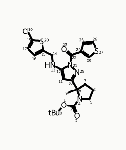 CC(C)(C)OC(=O)N1CCCC1(C)c1cc(NCc2ccc(Cl)s2)n(C(=O)c2ccsc2)n1